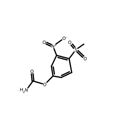 CS(=O)(=O)c1ccc(OC(N)=O)cc1[N+](=O)[O-]